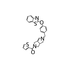 O=C(c1cccs1)N1CC2=CN(Cc3ccc(Oc4nc5ccccc5s4)cc3)CC2C1